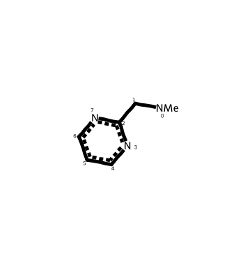 CNCc1ncccn1